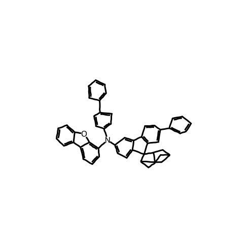 c1ccc(-c2ccc(N(c3ccc4c(c3)-c3ccc(-c5ccccc5)cc3C43C4CC5CC(C4)C3C5)c3cccc4c3oc3ccccc34)cc2)cc1